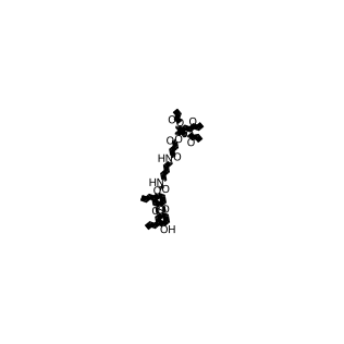 C=CCc1cc(S(=O)(=O)c2ccc(OC(=O)NCCCCCNC(=O)CCC(=O)OCC(CCC(=O)C=C)(COC(=O)C=C)COC(=O)C=C)c(CC=C)c2)ccc1O